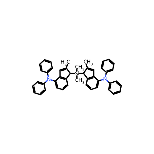 CC1=Cc2c(cccc2N(c2ccccc2)c2ccccc2)C1[Si](C)(C)C1C(C)=Cc2c1cccc2N(c1ccccc1)c1ccccc1